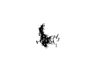 CC[C@H](F)CN1[C@H](c2c(F)cc(OCCN3CC(CF)C3)cc2F)c2[nH]c3ccccc3c2C[C@H]1C